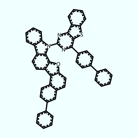 c1ccc(-c2ccc(-c3nc(-n4c5ccccc5c5ccc6c(oc7ccc8cc(-c9ccccc9)ccc8c76)c54)nc4c3sc3ccccc34)cc2)cc1